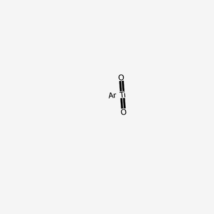 [Ar].[O]=[Ti]=[O]